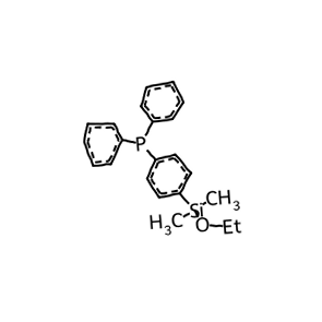 CCO[Si](C)(C)c1ccc(P(c2ccccc2)c2ccccc2)cc1